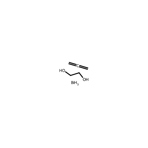 C=C=C.OCCO.[BiH3]